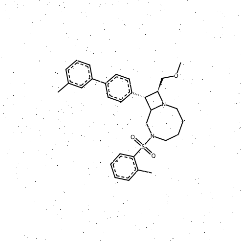 COC[C@@H]1[C@@H](c2ccc(-c3cccc(C)c3)cc2)C2CN(S(=O)(=O)c3ccccc3C)CCCCN21